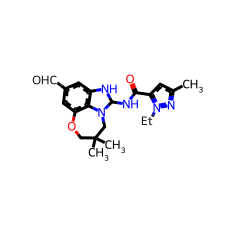 CCn1nc(C)cc1C(=O)NC1Nc2cc(C=O)cc3c2N1CC(C)(C)CO3